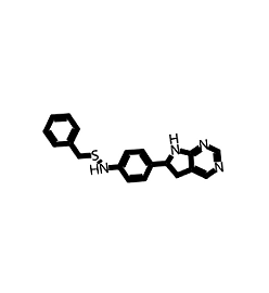 c1ccc(CSNc2ccc(C3Cc4cncnc4N3)cc2)cc1